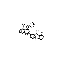 Fc1cccc(F)c1Nc1cc(-c2nc(OC3CCNCC3)c3c(C4CC4)cncc3n2)ccn1